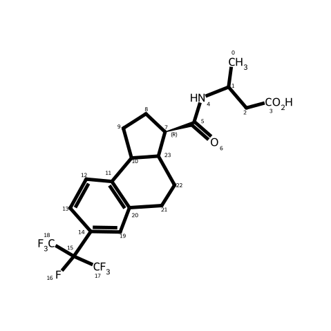 CC(CC(=O)O)NC(=O)[C@@H]1CCC2c3ccc(C(F)(C(F)(F)F)C(F)(F)F)cc3CCC21